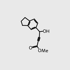 COC(=O)C#CC(O)c1ccc2c(c1)CCC2